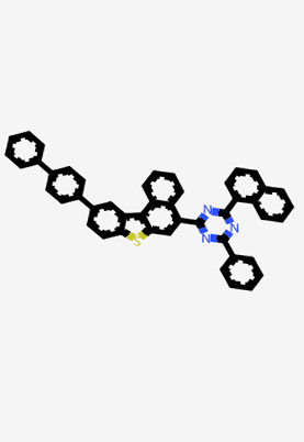 c1ccc(-c2ccc(-c3ccc4sc5cc(-c6nc(-c7ccccc7)nc(-c7cccc8ccccc78)n6)c6ccccc6c5c4c3)cc2)cc1